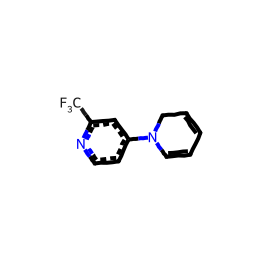 FC(F)(F)c1cc(N2C=CC=CC2)ccn1